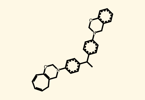 CC(c1ccc(N2COC3=C(CC=CC=C3)C2)cc1)c1ccc(N2COc3ccccc3C2)cc1